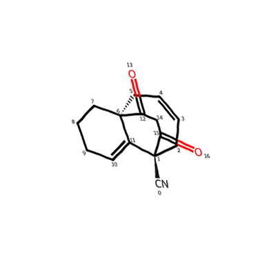 N#C[C@@]12CC=CC[C@]3(CCCC=C13)C(=O)CC2=O